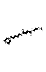 CCCOC(=O)/C=C/C(=O)OCCCCCN1CCOCC1